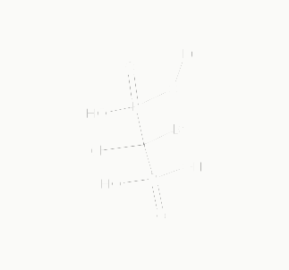 CCOP(=O)(O)C(Cl)(Br)P(=O)(O)O